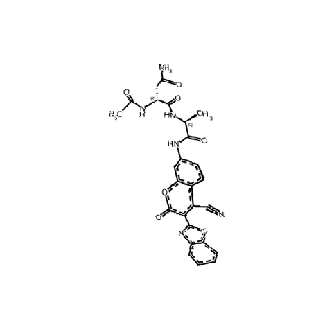 CC(=O)N[C@H](CC(N)=O)C(=O)N[C@@H](C)C(=O)Nc1ccc2c(C#N)c(-c3nc4ccccc4s3)c(=O)oc2c1